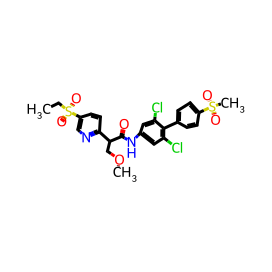 CCS(=O)(=O)c1ccc(C(COC)C(=O)Nc2cc(Cl)c(-c3ccc(S(C)(=O)=O)cc3)c(Cl)c2)nc1